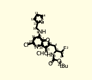 CC(F)C(Cc1oc2c(NCc3cccs3)cc(Cl)nc2c1C=O)NC(=O)OC(C)(C)C